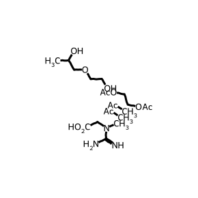 CC(=O)OCCOC(C)=O.CC(C)=O.CC(C)=O.CC(O)COCCO.CN(CC(=O)O)C(=N)N